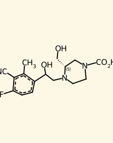 Cc1c(C(O)CN2CCN(C(=O)O)C[C@H]2CO)ccc(F)c1C#N